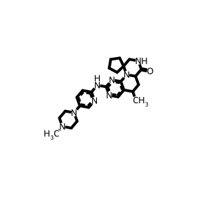 CC1CC2C(=O)NCC3(CCCC3)N2c2nc(Nc3ccc(N4CCN(C)CC4)cn3)ncc21